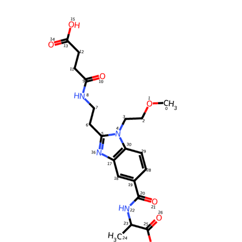 COCCn1c(CCNC(=O)CCC(=O)O)nc2cc(C(=O)NC(C)C(=O)O)ccc21